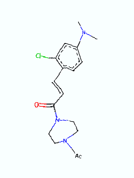 CC(=O)N1CCN(C(=O)C=Cc2ccc(N(C)C)cc2Cl)CC1